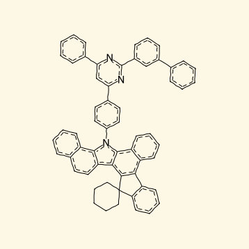 c1ccc(-c2cccc(-c3nc(-c4ccccc4)cc(-c4ccc(-n5c6c7ccccc7ccc6c6c7c(c8ccccc8c65)-c5ccccc5C75CCCCC5)cc4)n3)c2)cc1